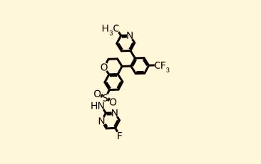 Cc1ccc(-c2cc(C(F)(F)F)ccc2C2CCOc3cc(S(=O)(=O)Nc4ncc(F)cn4)ccc32)cn1